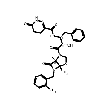 Cc1ccccc1CN1C(=O)[C@H]2N(C(=O)[C@@H](O)[C@H](Cc3ccccc3)NC(=O)C3=NNC(=O)CC3)CSC21C